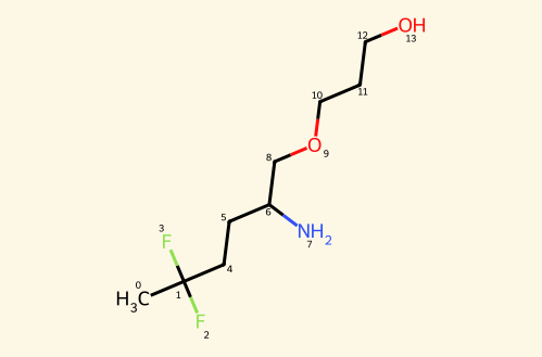 CC(F)(F)CCC(N)COCCCO